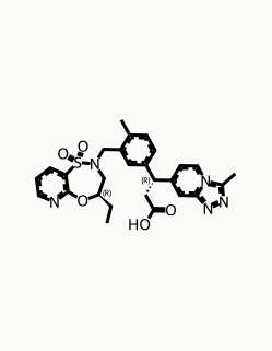 CC[C@@H]1CN(Cc2cc([C@@H](CC(=O)O)c3ccn4c(C)nnc4c3)ccc2C)S(=O)(=O)c2cccnc2O1